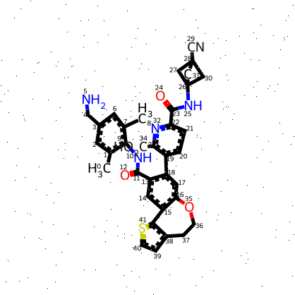 Cc1cc(CN)cc(C)c1NC(=O)c1cc2c(cc1-c1ccc(C(=O)NC34CC(C#N)(C3)C4)nc1C(=O)O)OCCc1ccsc1-2